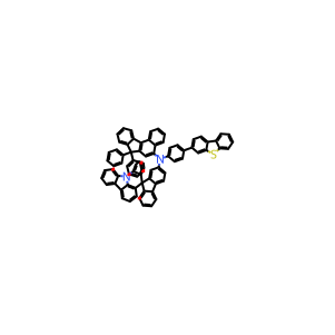 c1ccc(C2(c3ccccc3)c3ccccc3-c3c2cc(N(c2ccc(-c4ccc5c(c4)sc4ccccc45)cc2)c2ccc4c(c2)C2(c5ccccc5-4)c4ccccc4-n4c5ccccc5c5cccc2c54)c2ccccc32)cc1